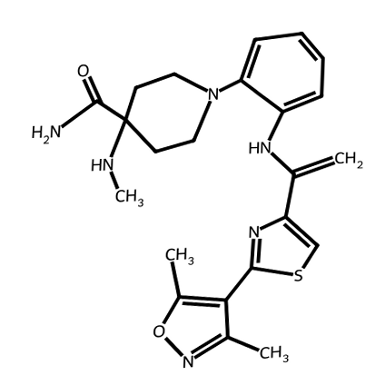 C=C(Nc1ccccc1N1CCC(NC)(C(N)=O)CC1)c1csc(-c2c(C)noc2C)n1